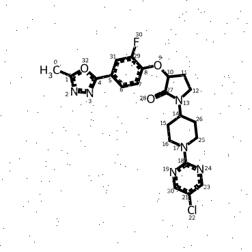 Cc1nnc(-c2ccc(OC3CCN(C4CCN(c5ncc(Cl)cn5)CC4)C3=O)c(F)c2)o1